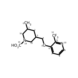 CC1CC(COc2cccnc2C(F)(F)F)CN(C(=O)O)C1